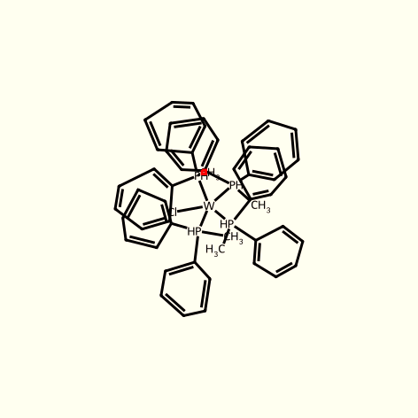 C[PH](c1ccccc1)(c1ccccc1)[W]([Cl])([PH](C)(c1ccccc1)c1ccccc1)([PH](C)(c1ccccc1)c1ccccc1)[PH](C)(c1ccccc1)c1ccccc1